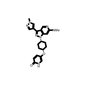 CNc1cc2c(cn1)c(-c1cnn(C)c1)nn2[C@H]1CC[C@@H](Oc2ccc(=O)[nH]c2)CC1